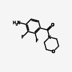 Nc1ccc(C(=O)N2CCOCC2)c(F)c1F